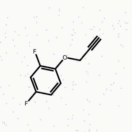 C#CCOc1c[c]c(F)cc1F